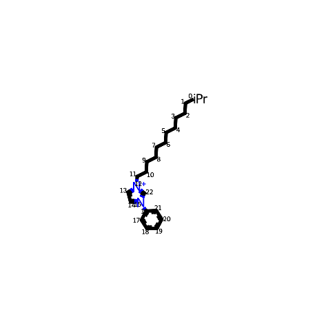 CC(C)CCCCCCCCCCC[n+]1ccn(-c2ccccc2)c1